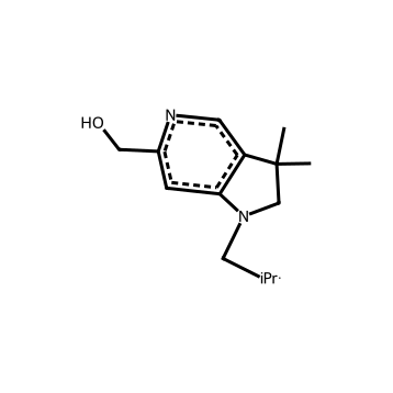 C[C](C)CN1CC(C)(C)c2cnc(CO)cc21